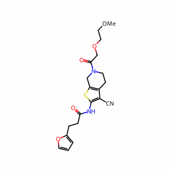 COCCOCC(=O)N1CCc2c(sc(NC(=O)CCc3ccco3)c2C#N)C1